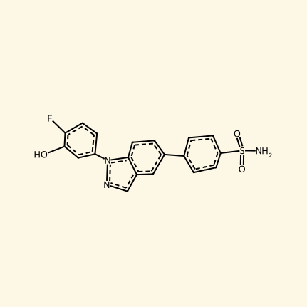 NS(=O)(=O)c1ccc(-c2ccc3c(cnn3-c3ccc(F)c(O)c3)c2)cc1